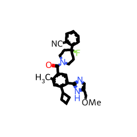 COCc1cnc(-c2cc(C(=O)N3CCC(F)(c4ccccc4C#N)CC3)c(C)cc2C2CCC2)[nH]1